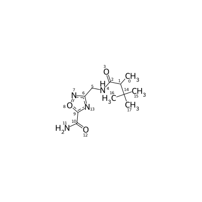 CC(C(=O)NCc1noc(C(N)=O)n1)C(C)(C)C